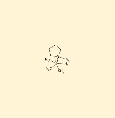 C[N+]1([SH](C)(C)(C)C)CCCC1